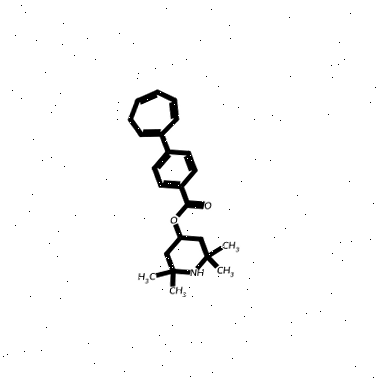 CC1(C)CC(OC(=O)c2ccc(C3=CCC=CC=C3)cc2)CC(C)(C)N1